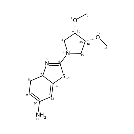 CO[C@H]1CN(C2=NC3CC=C(N)C=C3S2)C[C@H]1OC